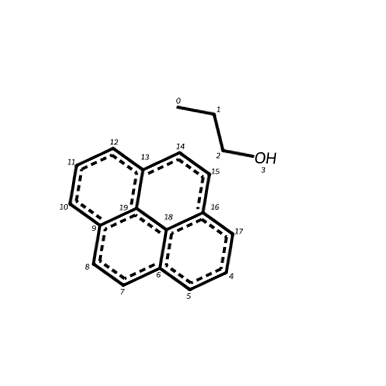 CCCO.c1cc2ccc3cccc4ccc(c1)c2c34